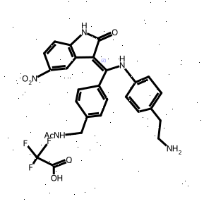 CC(=O)NCc1ccc(/C(Nc2ccc(CCN)cc2)=C2/C(=O)Nc3ccc([N+](=O)[O-])cc32)cc1.O=C(O)C(F)(F)F